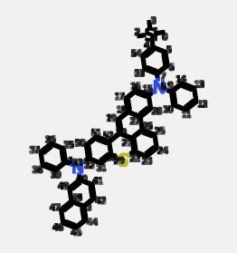 C[Si](C)(C)c1ccc(N(c2ccccc2)c2ccc3cc4c5c(cccc5c3c2)Sc2cc(N(c3ccccc3)c3ccc5ccccc5c3)ccc2-4)cc1